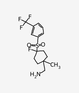 CC1(CN)CCC(F)(S(=O)(=O)c2cccc(C(F)(F)F)c2)CC1